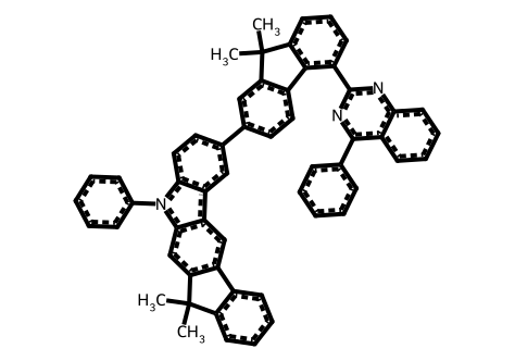 CC1(C)c2ccccc2-c2cc3c4cc(-c5ccc6c(c5)C(C)(C)c5cccc(-c7nc(-c8ccccc8)c8ccccc8n7)c5-6)ccc4n(-c4ccccc4)c3cc21